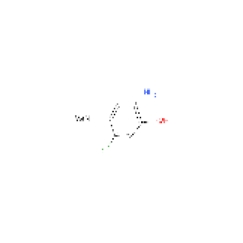 CNc1cc(N)c(O)cc1Cl